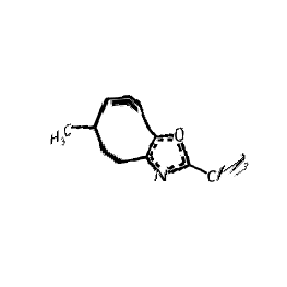 Cc1nc2c(o1)C=CC(C)C2